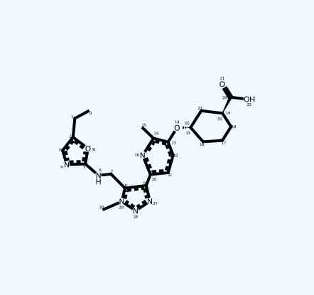 CCc1cnc(NCc2c(-c3ccc(O[C@H]4CCC[C@H](C(=O)O)C4)c(C)n3)nnn2C)o1